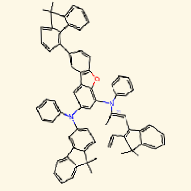 C=CC1=C(/C=C(\C)N(c2ccccc2)c2cc(N(c3ccccc3)c3ccc4c(c3)-c3ccccc3C4(C)C)cc3c2oc2ccc(-c4cccc5c4-c4ccccc4C5(C)C)cc23)c2ccccc2C1(C)C